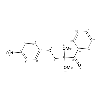 COC(COc1ccc([N+](=O)[O-])cc1)(OC)C(=O)c1ccccc1